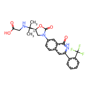 CC(C)(NCC(=O)O)[C@@H]1CN(c2ccc3cc(-c4ccccc4C(F)(F)F)[nH]c(=O)c3c2)C(=O)O1